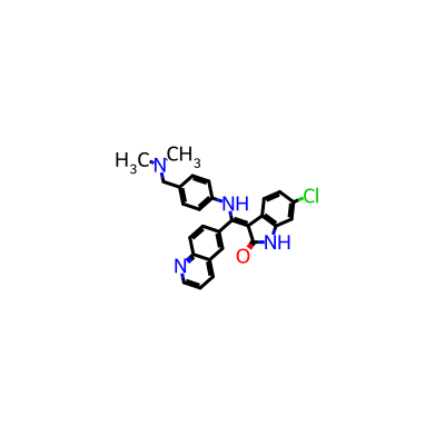 CN(C)Cc1ccc(NC(=C2C(=O)Nc3cc(Cl)ccc32)c2ccc3ncccc3c2)cc1